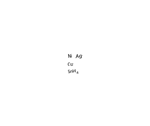 [Ag].[Cu].[Ni].[SnH4]